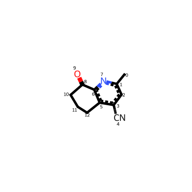 Cc1cc(C#N)c2c(n1)C(=O)CCC2